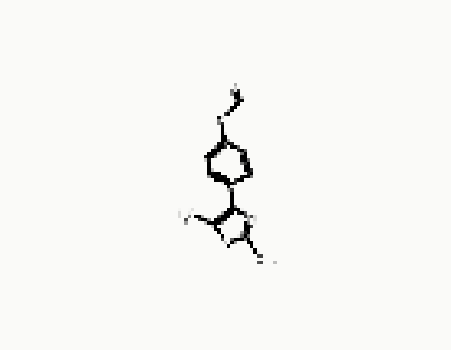 Cc1nc(-c2ccc(OC=O)cc2)c(C)s1